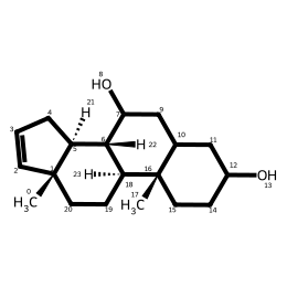 C[C@@]12C=CC[C@H]1[C@@H]1C(O)CC3CC(O)CC[C@]3(C)[C@H]1CC2